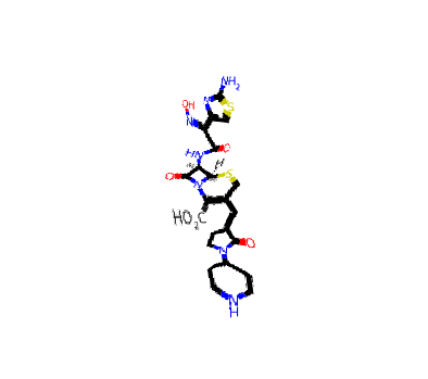 Nc1nc(C(=NO)C(=O)N[C@@H]2C(=O)N3C(C(=O)O)=C(C=C4CCN(C5CCNCC5)C4=O)CS[C@H]23)cs1